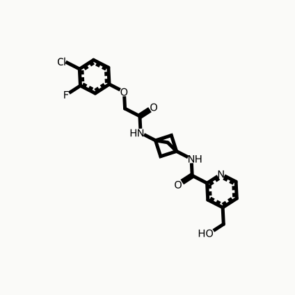 O=C(COc1ccc(Cl)c(F)c1)NC12CC(NC(=O)c3cc(CO)ccn3)(C1)C2